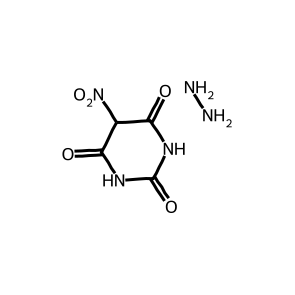 NN.O=C1NC(=O)C([N+](=O)[O-])C(=O)N1